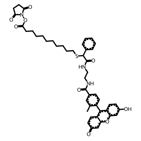 Cc1cc(C(=O)NCCNC(=O)C(SCCCCCCCCCCC(=O)ON2C(=O)CCC2=O)c2ccccc2)ccc1-c1c2ccc(=O)cc-2oc2cc(O)ccc12